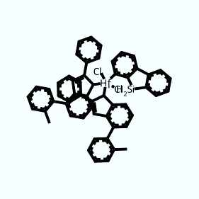 Cc1ccccc1-c1cccc2c1C=C(c1ccccc1)[CH]2[Hf]([Cl])([Cl])([c]1cccc2c1[SiH2]c1ccccc1-2)[CH]1C(c2ccccc2)=Cc2c(-c3ccccc3C)cccc21